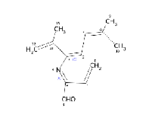 C=C/C(C=O)=N\C(=C\C=C(C)C)C(=C)C